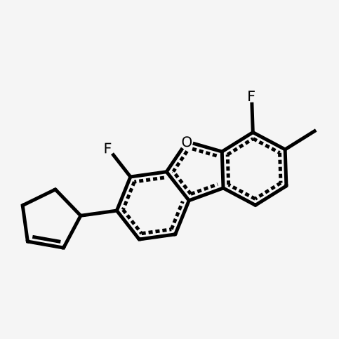 Cc1ccc2c(oc3c(F)c(C4C=CCC4)ccc32)c1F